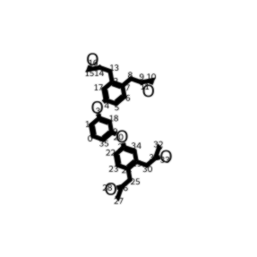 c1cc(Oc2ccc(CC3CO3)c(CC3CO3)c2)cc(Oc2ccc(CC3CO3)c(CC3CO3)c2)c1